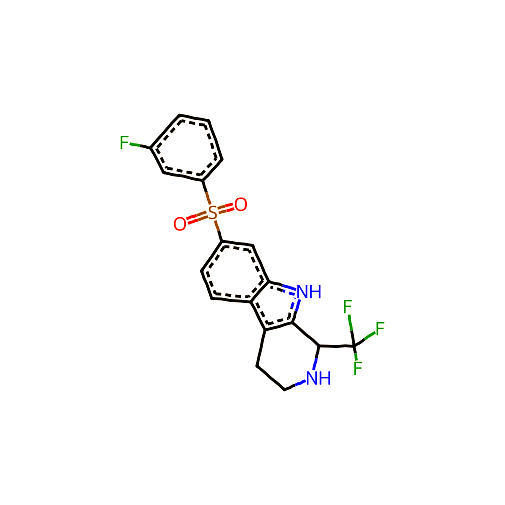 O=S(=O)(c1cccc(F)c1)c1ccc2c3c([nH]c2c1)C(C(F)(F)F)NCC3